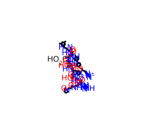 CCc1cc(OCCCCN=[N+]=[N-])ccc1-c1ccc(C[C@H](NC(=O)[C@H](CC(=O)O)NC(=O)[C@H](C)NC(=O)[C@@H](NC(=O)[C@](C)(Cc2ccccc2F)NC(=O)[C@@H](NC(=O)CNC(=O)[C@H](Cc2nn[nH]n2)NC(=O)CCNC(=O)CCN2CCCC2=O)[C@@H](C)O)[C@@H](C)O)C(=O)N[C@@H](CCCc2cc(C)cc(C)c2)C(N)=O)cc1